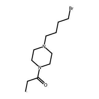 [CH2]CC(=O)N1CCN(CCCCBr)CC1